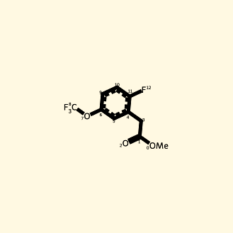 COC(=O)Cc1cc(OC(F)(F)F)ccc1F